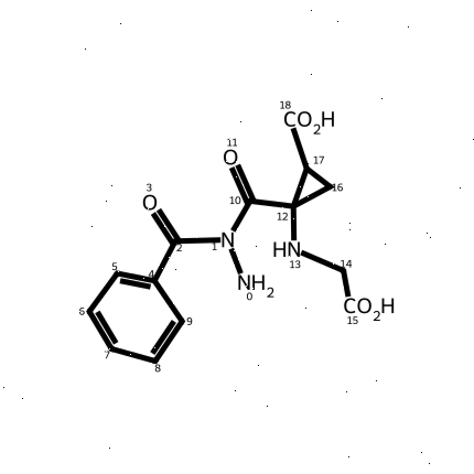 NN(C(=O)c1ccccc1)C(=O)C1(NCC(=O)O)CC1C(=O)O